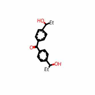 CCC(O)c1ccc(C(=O)c2ccc(C(O)CC)cc2)cc1